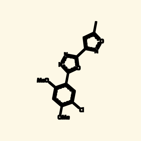 COc1cc(OC)c(-c2nnc(-c3cc(C)on3)o2)cc1Cl